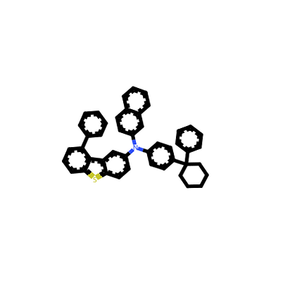 c1ccc(-c2cccc3sc4ccc(N(c5ccc(C6(c7ccccc7)CCCCC6)cc5)c5ccc6ccccc6c5)cc4c23)cc1